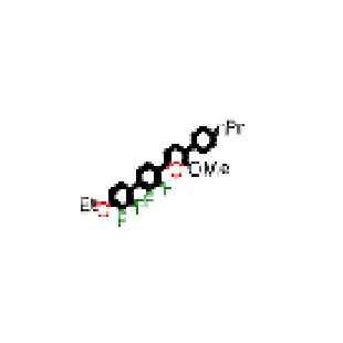 CCCC1CCC(C2CC=C(c3ccc(-c4ccc(OCC)c(F)c4F)c(F)c3F)OC2OC)CC1